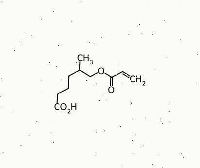 C=CC(=O)OCC(C)CCCC(=O)O